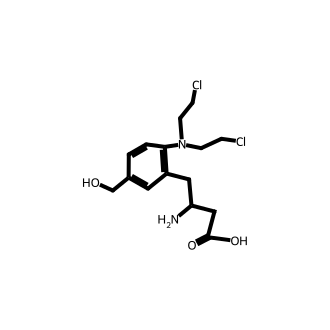 NC(CC(=O)O)Cc1cc(CO)ccc1N(CCCl)CCCl